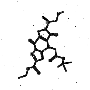 CCOC(=O)c1cc2n(CC(=O)OC(C)(C)C)c3c(c(=O)n2n1)CN([C@@H](C)COC)C3=O